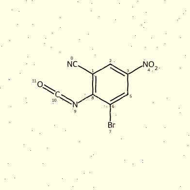 N#Cc1cc([N+](=O)[O-])cc(Br)c1N=C=O